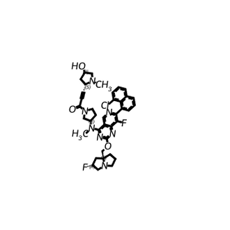 CN1C[C@H](O)C[C@H]1C#CC(=O)N1CC[C@@H](N(C)c2nc(OC[C@@]34CCCN3C[C@H](F)C4)nc3c(F)c(-c4cccc5cccc(Cl)c45)ncc23)C1